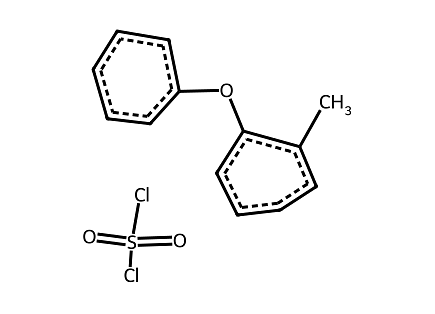 Cc1ccccc1Oc1ccccc1.O=S(=O)(Cl)Cl